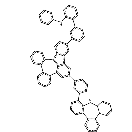 C1=CC2Nc3c(-c4cccc(-c5cc6c7c(c5)c5cc(-c8cccc(-c9ccccc9Nc9ccccc9)c8)ccc5n7-c5ccccc5-c5ccccc5-6)c4)cccc3-c3ccccc3C2C=C1